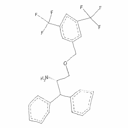 N[C@H](COCc1cc(C(F)(F)F)cc(C(F)(F)F)c1)C(c1ccccc1)c1ccccc1